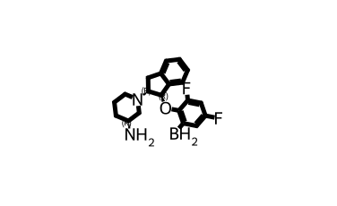 Bc1cc(F)cc(F)c1O[C@@H]1c2ccccc2C[C@H]1N1CCC[C@@H](N)C1